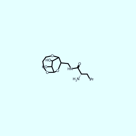 CC(C)C[C@H](N)C(=O)NCC1OC2OCCCOC1C(O)C2O